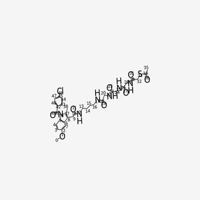 COc1ccc2c(c1)c(CC(=O)NCCCCNC(=O)CNC(=O)CNC(=O)CNC(=O)CSC(C)=O)c(C)n2C(=O)c1ccc(Cl)cc1